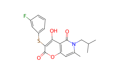 Cc1cc2oc(=O)c(Sc3cccc(F)c3)c(O)c2c(=O)n1CC(C)C